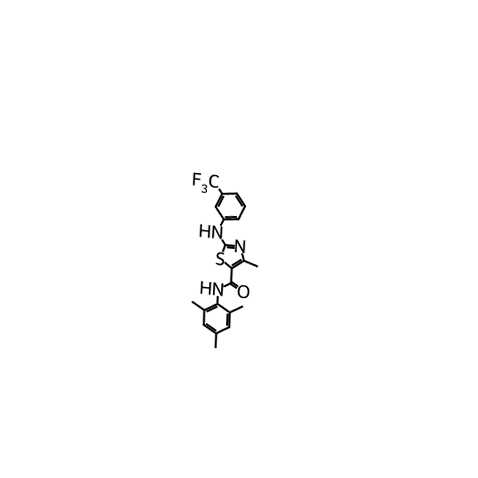 Cc1cc(C)c(NC(=O)c2sc(Nc3cccc(C(F)(F)F)c3)nc2C)c(C)c1